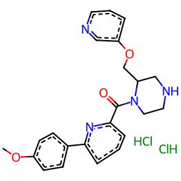 COc1ccc(-c2cccc(C(=O)N3CCNCC3COc3cccnc3)n2)cc1.Cl.Cl